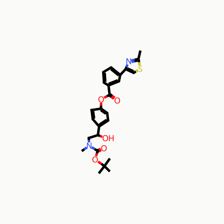 Cc1nc(-c2cccc(C(=O)Oc3ccc(C(O)CN(C)C(=O)OC(C)(C)C)cc3)c2)cs1